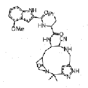 COc1cccc2[nH]c(C(=O)NC(CC(C)C)C(=O)NC3CC4CCN(C4=O)C(C)(C)c4cc([nH]n4)CNC3C#N)cc12